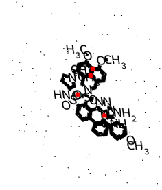 COc1ccc(CN(Cc2ccc(OC)cc2)S(=O)(=O)c2c(S(=O)(=O)NC3CC[N+](C)(C)C3)ccc(-c3cccc4[nH]c(N)nc34)c2-c2nnnn2Cc2ccc(OC)cc2)cc1